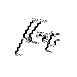 CCCCCCCC/C=C\CCCCCCCC(=O)O.CCCCCCCCCCC(O)CCCCCCC.CCCCCCCCCCCC(=O)OCCCCCC.CCCCCCCCCCCCCCCCCC(=O)O.CCCCCCCCCCCCCCCCCC(=O)OO.CCCCCC[C@@H](O)C/C=C\CCCCCCCC(=O)O.OCCO